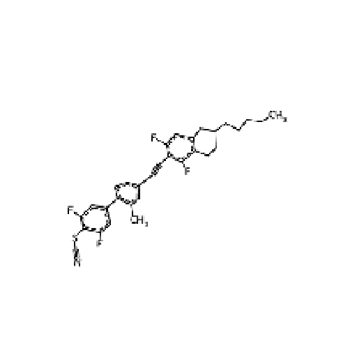 CCCCCC1CCc2c(cc(F)c(C#Cc3ccc(-c4cc(F)c(SC#N)c(F)c4)c(C)c3)c2F)C1